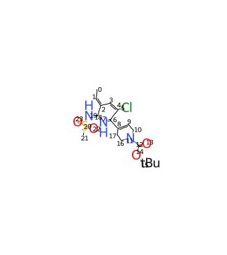 C/C=C(\C=C(\Cl)C(=N)C1=CCN(C(=O)OC(C)(C)C)CC1)CNS(C)(=O)=O